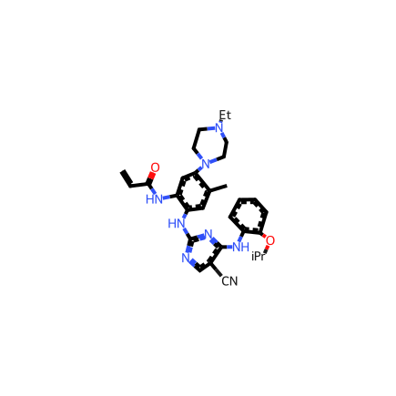 C=CC(=O)Nc1cc(N2CCN(CC)CC2)c(C)cc1Nc1ncc(C#N)c(Nc2ccccc2OC(C)C)n1